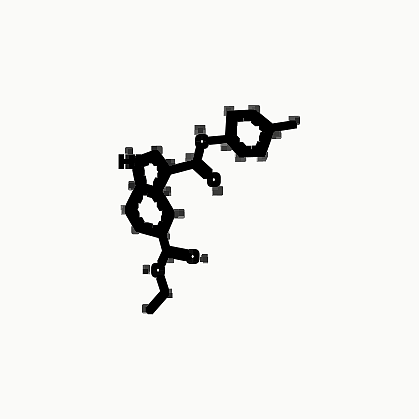 CCOC(=O)c1ccc2[nH]cc(C(=O)Oc3ccc(C)cc3)c2c1